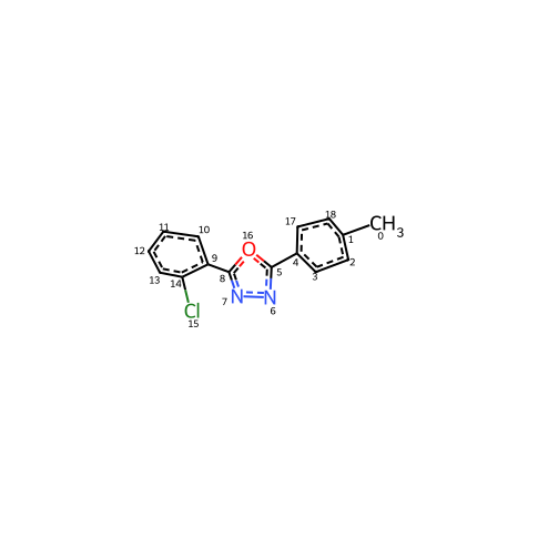 Cc1ccc(-c2nnc(-c3ccccc3Cl)o2)cc1